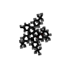 Cc1ccc2c(c1)B1c3ccc(C(C)(C)C)cc3N(c3ccc(C(C)(C)C)cc3-c3ccc4c(c3)C(C)(C)CCC4(C)C)c3cc(C)cc(c31)N2c1ccc(C(C)(C)C)cc1